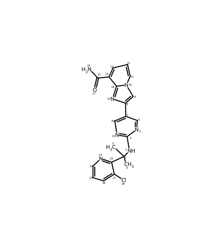 CC(C)(Nc1ncc(-c2cn3cccc(C(N)=O)c3n2)cn1)c1ncccc1Cl